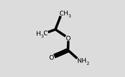 C[C](C)OC(N)=O